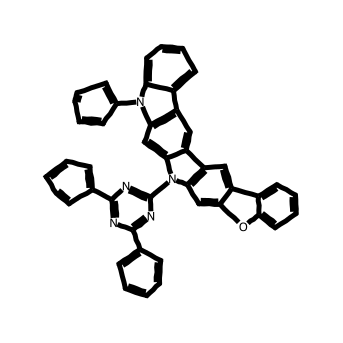 c1ccc(-c2nc(-c3ccccc3)nc(-n3c4cc5oc6ccccc6c5cc4c4cc5c6ccccc6n(-c6ccccc6)c5cc43)n2)cc1